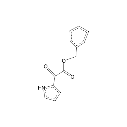 O=C(OCc1ccccc1)C(=O)c1ccc[nH]1